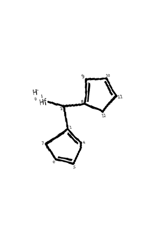 [H-].[Hf][CH](C1=CC=CC1)C1=CC=CC1